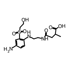 CC(CC(=O)NCCNc1ccc(N)cc1S(=O)(=O)CCO)C(=O)O